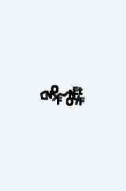 CCN(CCCC(C)(F)C(=O)N1CCCC1)C(=O)C(C)(C)F